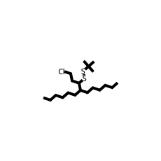 CCCCCCC(CCCCCC)C(CCCl)SSC(C)(C)C